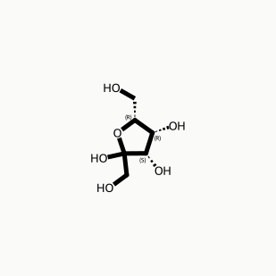 OC[C@H]1OC(O)(CO)[C@@H](O)[C@H]1O